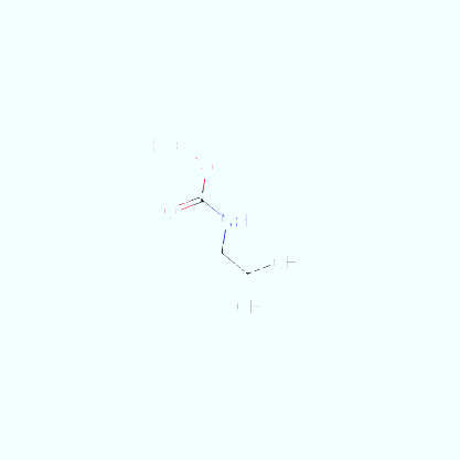 [CH2][C@@H](C)CNC(=O)OC